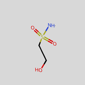 [NH]S(=O)(=O)CCO